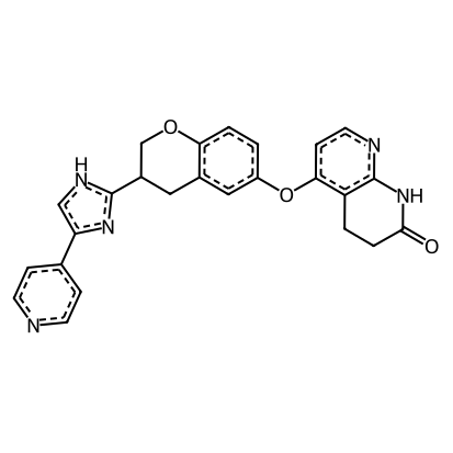 O=C1CCc2c(Oc3ccc4c(c3)CC(c3nc(-c5ccncc5)c[nH]3)CO4)ccnc2N1